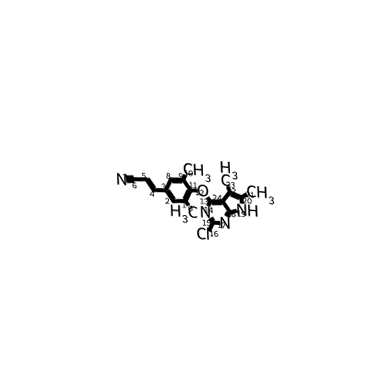 Cc1cc(/C=C/C#N)cc(C)c1Oc1nc(Cl)nc2[nH]c(C)c(C)c12